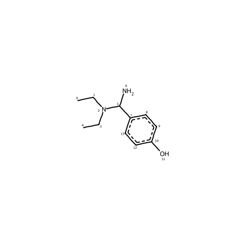 CCN(CC)C(N)c1ccc(O)cc1